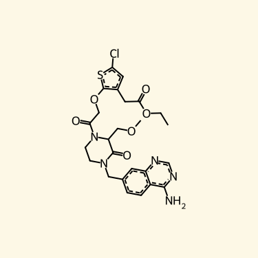 CCOC(=O)Cc1cc(Cl)sc1OCC(=O)N1CCN(Cc2ccc3c(N)ncnc3c2)C(=O)C1COC